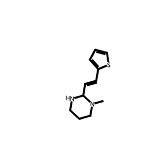 CN1CCCNC1C=Cc1cccs1